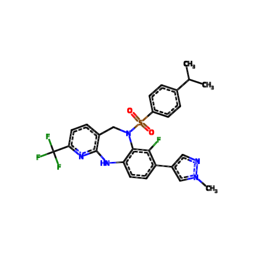 CC(C)c1ccc(S(=O)(=O)N2Cc3ccc(C(F)(F)F)nc3Nc3ccc(-c4cnn(C)c4)c(F)c32)cc1